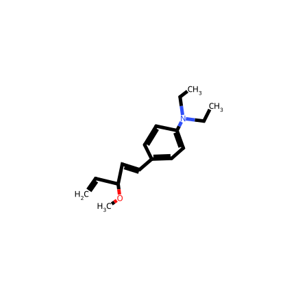 C=CC(/C=C/c1ccc(N(CC)CC)cc1)OC